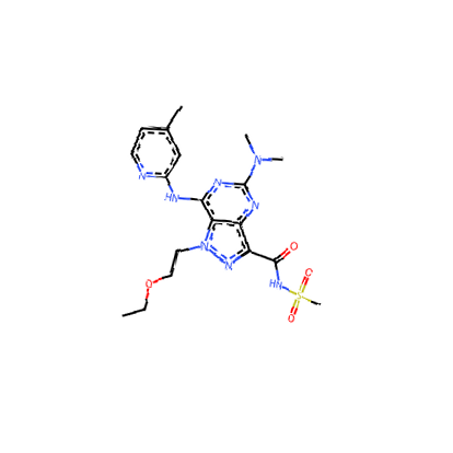 CCOCCn1nc(C(=O)NS(C)(=O)=O)c2nc(N(C)C)nc(Nc3cc(C)ccn3)c21